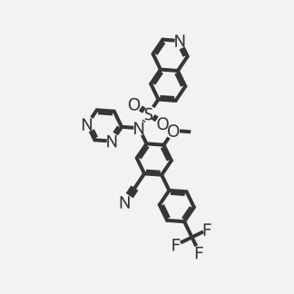 COc1cc(-c2ccc(C(F)(F)F)cc2)c(C#N)cc1N(c1ccncn1)S(=O)(=O)c1ccc2cnccc2c1